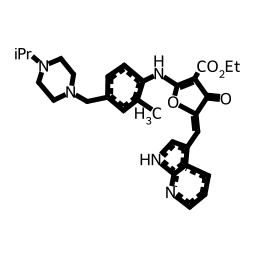 CCOC(=O)C1=C(Nc2ccc(CN3CCN(C(C)C)CC3)cc2C)OC(=Cc2c[nH]c3ncccc23)C1=O